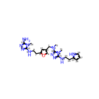 CN(Cc1coc(CCNc2nnc(N)n2C)c1)c1nnc(NCCc2ccc[nH]2)n1C